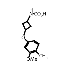 COc1cc(OC2CC(NC(=O)O)C2)ccc1C